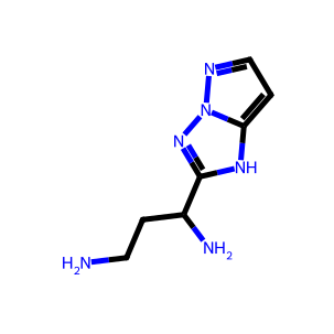 NCCC(N)c1nn2nccc2[nH]1